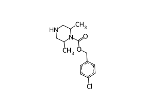 CC1CNCC(C)N1C(=O)OCc1ccc(Cl)cc1